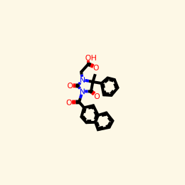 CC1(c2ccccc2)C(=O)N(C(=O)c2ccc3ccccc3c2)C(=O)N1CC(=O)O